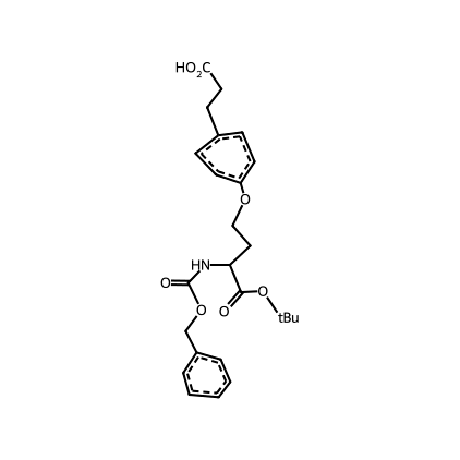 CC(C)(C)OC(=O)C(CCOc1ccc(CCC(=O)O)cc1)NC(=O)OCc1ccccc1